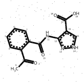 CC(=O)c1ccccc1C(=O)Nc1n[nH]cc1C(=O)O